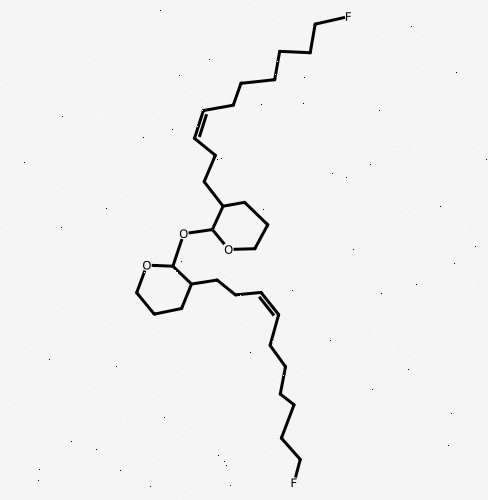 FCCCCCC/C=C\CCC1CCCOC1OC1OCCCC1CC/C=C\CCCCCCF